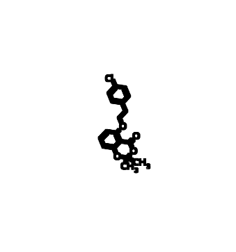 CC1(C)OC(=O)c2c(OCCc3ccc(Cl)cc3)cccc2O1